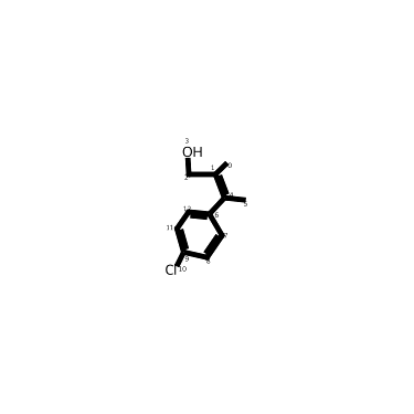 CC(CO)=C(C)c1ccc(Cl)cc1